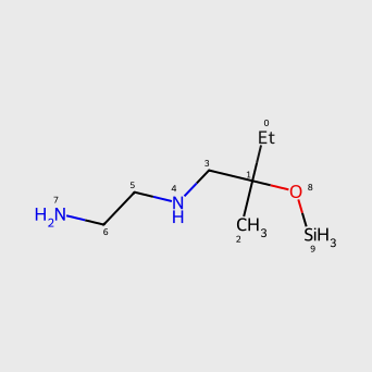 CCC(C)(CNCCN)O[SiH3]